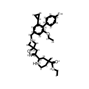 CCOC(=O)C1(C)CCNC(C2=NOC3(C2)CN(Cc2cc(OCC)c(-c4ccc(F)cc4)c(C4CC4)c2)C3)C1